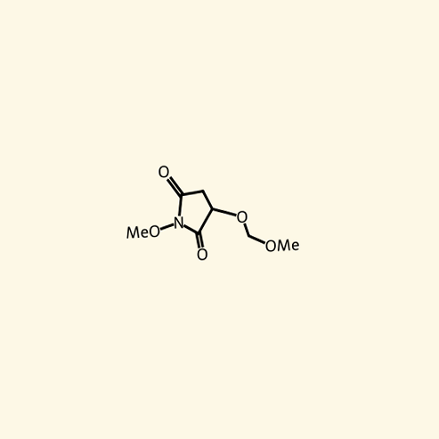 COCOC1CC(=O)N(OC)C1=O